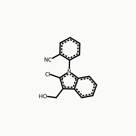 N#Cc1ccccc1-n1c(Cl)c(CO)c2ccccc21